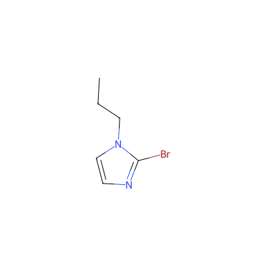 CCCn1ccnc1Br